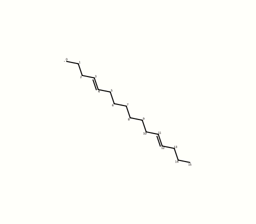 [CH2]CCC=CCCCCCCC=CCCC